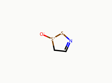 [O-][S+]1CC=NS1